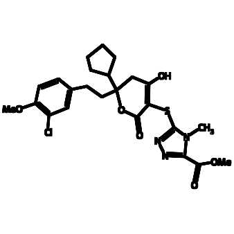 COC(=O)c1nnc(SC2=C(O)CC(CCc3ccc(OC)c(Cl)c3)(C3CCCC3)OC2=O)n1C